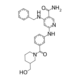 NC(=O)c1cnc(Nc2cccc(C(=O)N3CCCC(CO)C3)c2)cc1NCc1ccccc1